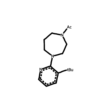 CC(=O)N1CCCN(c2ncccc2C(C)(C)C)CC1